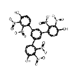 O=[N+]([O-])c1c(O)ccc(-c2cc(-c3ccc(O)c([N+](=O)[O-])c3[N+](=O)[O-])cc(-c3ccc(O)c([N+](=O)[O-])c3[N+](=O)[O-])c2)c1[N+](=O)[O-]